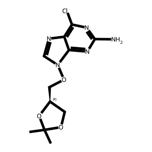 CC1(C)OC[C@H](COn2cnc3c(Cl)nc(N)nc32)O1